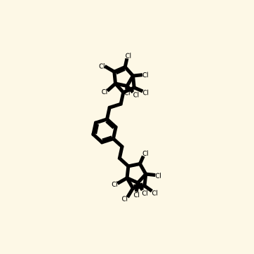 ClC1=C(Cl)C2(Cl)C(CCc3cccc(CCC4C(Cl)C5(Cl)C(Cl)=C(Cl)C4(Cl)C5(Cl)Cl)c3)C(Cl)C1(Cl)C2(Cl)Cl